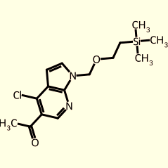 CC(=O)c1cnc2c(ccn2COCC[Si](C)(C)C)c1Cl